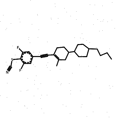 CCCCC1CCC(C2CCC(C#Cc3cc(F)c(SC#N)c(F)c3)=C(C)C2)CC1